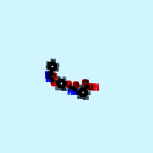 O=C(COc1ccc(Oc2nnc(-c3ccccc3)o2)cc1)Nc1cccc(C(=O)O)c1